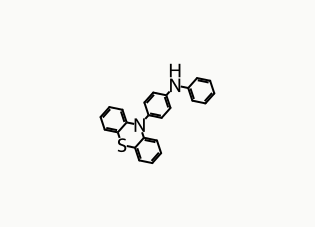 c1ccc(Nc2ccc(N3c4ccccc4Sc4ccccc43)cc2)cc1